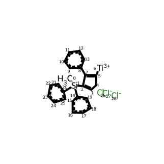 C[Si](C1=CC[C]([Ti+3])=C1c1ccccc1)(c1ccccc1)c1ccccc1.[Cl-].[Cl-].[Cl-]